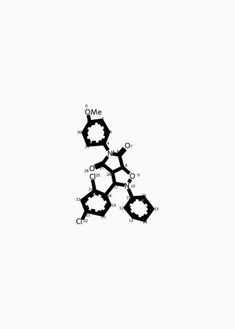 COc1ccc(N2C(=O)C3ON(c4ccccc4)C(c4ccc(Cl)cc4Cl)C3C2=O)cc1